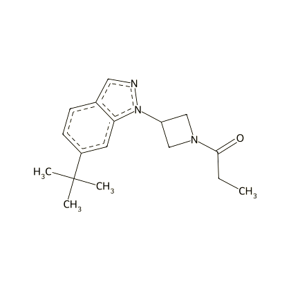 CCC(=O)N1CC(n2ncc3ccc(C(C)(C)C)cc32)C1